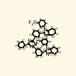 FC(F)(F)c1cccc(-n2c(-c3cccc(-c4nc(-c5ccccc5)nc(-c5cccc(-c6nc7ccccc7n6-c6cccc(C(F)(F)F)c6)c5)n4)c3)nc3ccccc32)c1